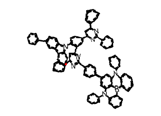 c1ccc(-c2ccc3c(c2)c2ccccc2n3-c2ccc(-c3cc(-c4ccccc4)nc(-c4ccccc4)n3)cc2-c2cc(-c3ccccc3)nc(-c3ccc(-c4cc5c6c(c4)N(c4ccccc4)c4ccccc4B6c4ccccc4N5c4ccccc4)cc3)n2)cc1